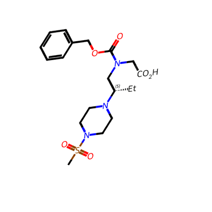 CC[C@@H](CN(CC(=O)O)C(=O)OCc1ccccc1)N1CCN(S(C)(=O)=O)CC1